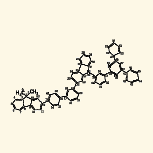 CC1(C)c2ccccc2-c2ccc(-c3ccc(-c4cccc(-c5ccc6c7ccccc7n(-c7cccc(-c8nc(-c9ccccc9)cc(C9C=CC=CC9)n8)c7)c6c5)c4)cc3)cc21